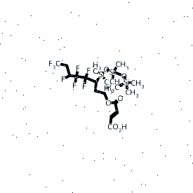 C[Si](C)(C)O[Si](C)(C)O[Si](C)(C)C(CCOC(=O)C=CC(=O)O)C(F)(F)C(F)(F)C(F)CC(F)(F)F